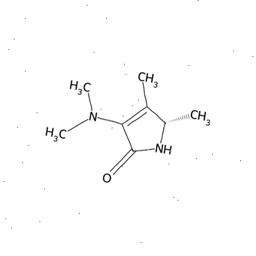 CC1=C(N(C)C)C(=O)N[C@H]1C